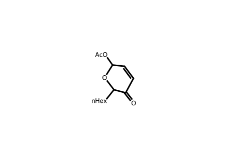 CCCCCCC1OC(OC(C)=O)C=CC1=O